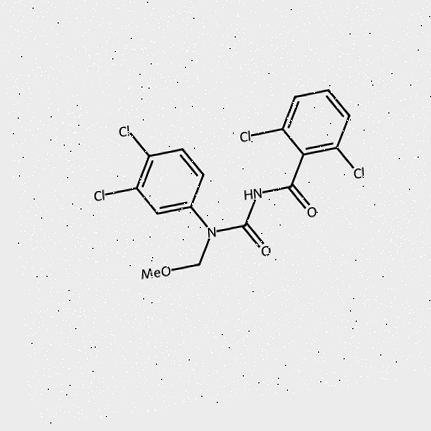 COCN(C(=O)NC(=O)c1c(Cl)cccc1Cl)c1ccc(Cl)c(Cl)c1